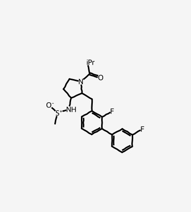 CC(C)C(=O)N1CCC(N[S+](C)[O-])C1Cc1cccc(-c2cccc(F)c2)c1F